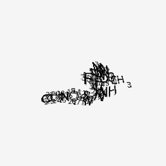 COc1cc(-c2[nH]nc(-c3ncc(C4CCC(N5CC6(CCOCC6)C5)CC4)s3)c2CC(F)(F)F)cn2ncnc12